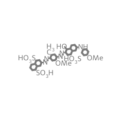 COc1ccc(Nc2ccc3c(O)c(N=Nc4cc(C)c(N=Nc5cc(S(=O)(=O)O)c6cccc(S(=O)(=O)O)c6c5)cc4OC)c(S(=O)(=O)O)cc3c2)cc1